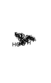 CNC(=O)c1c(-c2ccc(F)cc2)oc2cc(NS(=O)(=O)CCCO)c(-c3cccc(C(=O)NC4(c5ccc(F)cc5)CC4)c3)cc12